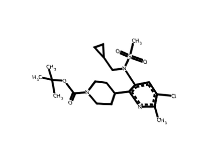 Cc1nc(C2CCN(C(=O)OC(C)(C)C)CC2)c(N(CC2CC2)S(C)(=O)=O)cc1Cl